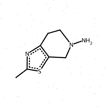 Cc1nc2c(s1)CN(N)CC2